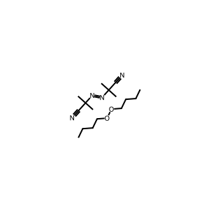 CC(C)(C#N)N=NC(C)(C)C#N.CCCCOOCCCC